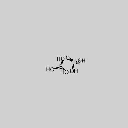 O=[Te](O)O.OB(O)O